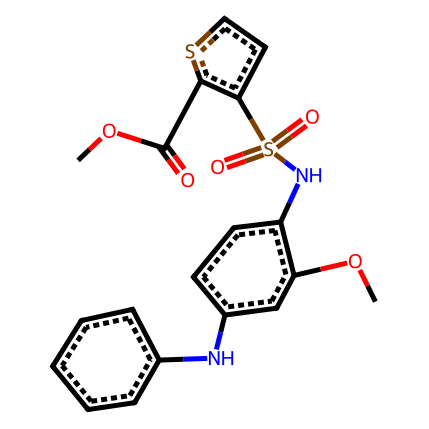 COC(=O)c1sccc1S(=O)(=O)Nc1ccc(Nc2ccccc2)cc1OC